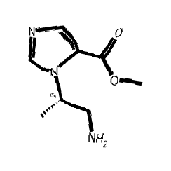 COC(=O)c1cncn1[C@@H](C)CN